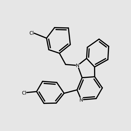 Clc1ccc(-c2nccc3c4ccccc4n(Cc4cccc(Cl)c4)c23)cc1